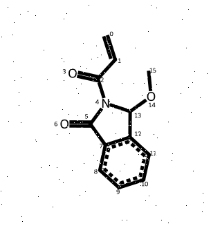 C=CC(=O)N1C(=O)c2ccccc2C1OC